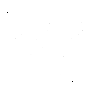 c1ccc(-c2ccc3c4ccccc4n(-c4cccc(-c5nc(-c6ccccc6)nc(-c6ccc7c(c6)oc6ccccc67)n5)c4)c3c2)cc1